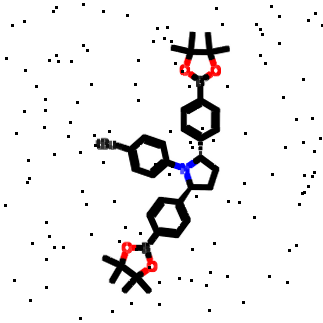 CC(C)(C)c1ccc(N2[C@H](c3ccc(B4OC(C)(C)C(C)(C)O4)cc3)CC[C@H]2c2ccc(B3OC(C)(C)C(C)(C)O3)cc2)cc1